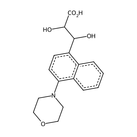 O=C(O)C(O)C(O)c1ccc(N2CCOCC2)c2ccccc12